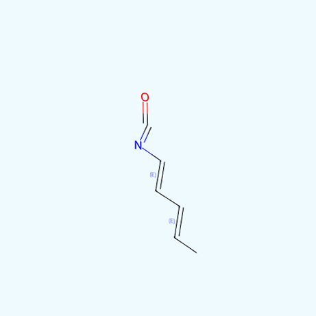 C/C=C/C=C/N=C=O